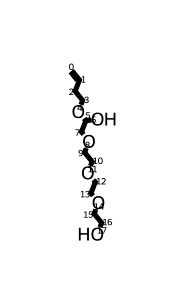 C=CCCOC(O)COCCOCCOCCO